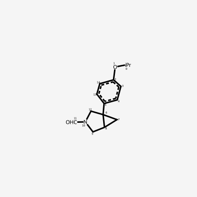 CC(C)Oc1ccc(C23CC2CN(C=O)C3)cc1